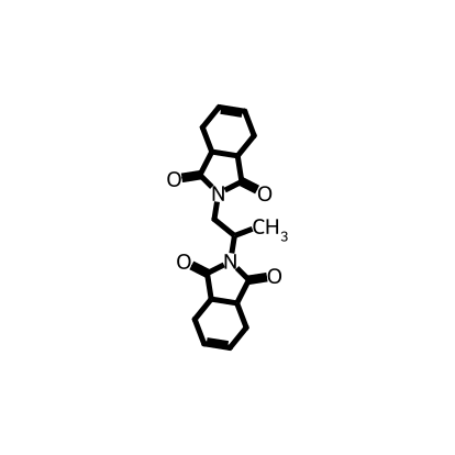 CC(CN1C(=O)C2CC=CCC2C1=O)N1C(=O)C2CC=CCC2C1=O